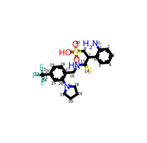 Nc1ccccc1C(CS(=O)(=O)O)C(=S)NCc1ccc(C(F)(F)F)cc1N1CCCC1